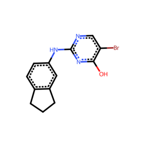 Oc1nc(Nc2ccc3c(c2)CCC3)ncc1Br